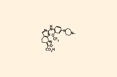 CN1CCN(c2ccc(Nc3ncc4c(n3)-c3noc(C(=O)O)c3CC4)c(OC(F)(F)F)c2)CC1